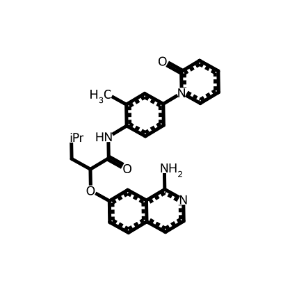 Cc1cc(-n2ccccc2=O)ccc1NC(=O)C(CC(C)C)Oc1ccc2ccnc(N)c2c1